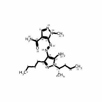 CCCCc1nn([C@@H](C)CCC)c(N)c1N=Nc1c(C(N)=O)cnn1C